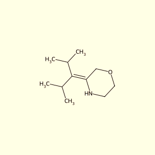 CC(C)C(=C1COCCN1)C(C)C